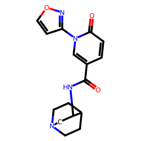 O=C(NC1CN2CCC1CC2)c1ccc(=O)n(-c2ccon2)c1